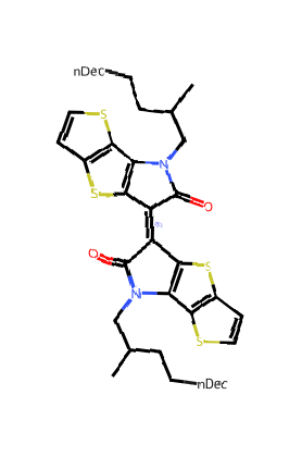 CCCCCCCCCCCCC(C)CN1C(=O)/C(=C2/C(=O)N(CC(C)CCCCCCCCCCCC)c3c2sc2ccsc32)c2sc3ccsc3c21